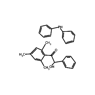 Cc1cc(C)c(C(=O)C(O)c2ccccc2)c(C)c1.c1ccc(Pc2ccccc2)cc1